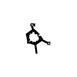 Cc1ncc(C#N)cc1Cl